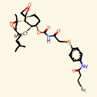 CO[C@H]1[C@H](C2(C)O[C@@H]2CC=C(C)C)[C@]2(CC[C@H]1OC(=O)NC(=O)CSc1ccc(NC(=O)CCC(C)=O)cc1)CO2